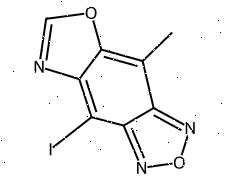 Cc1c2nonc2c(I)c2ncoc12